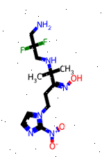 CC(C)(NCC(F)(F)CN)C(CCn1ccnc1[N+](=O)[O-])=NO